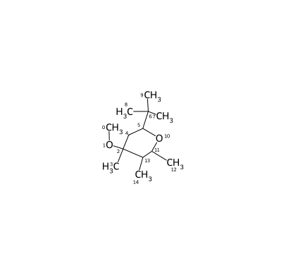 COC1(C)CC(C(C)(C)C)OC(C)C1C